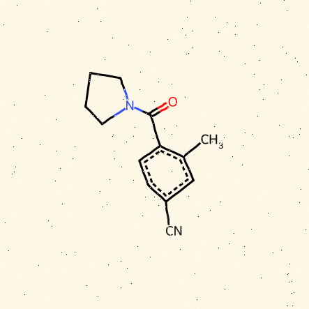 Cc1cc(C#N)ccc1C(=O)N1CCCC1